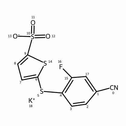 N#Cc1ccc(Sc2ccc(S(=O)(=O)[O-])s2)c(F)c1.[K+]